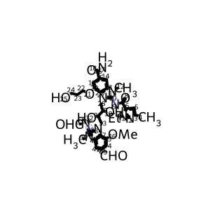 CCn1nc(C)cc1C(=O)/N=c1\n(C)c2cc(C(N)=O)cc(OCCCO)c2n1CC(O)C(O)Cn1/c(=N/C=O)n(C)c2cc(C=O)cc(OC)c21